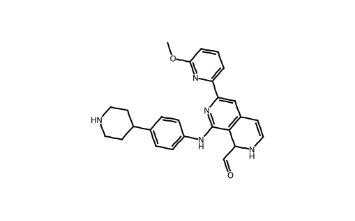 COc1cccc(-c2cc3c(c(Nc4ccc(C5CCNCC5)cc4)n2)C(C=O)NC=C3)n1